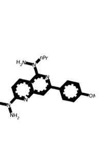 CCCN(N)c1ccc2c(N(N)CCC)nc(-c3ccc(OC)cc3)cc2n1